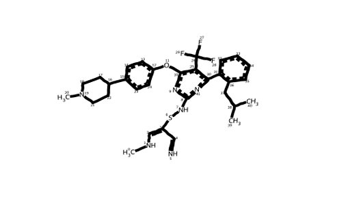 CN/C=C(\C=N)SNc1nc(Oc2ccc(C3CCN(C)CC3)cc2)c(C(F)(F)F)c(-c2ccccc2CC(C)C)n1